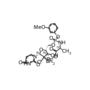 B[C@]1(Cl)[C@H](O)[C@@H](COP(=O)(N[C@@H](C)C(=O)OC(C)C)Oc2cccc(OC)c2)O[C@H]1n1ccc(=O)[nH]c1=O